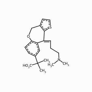 CN(C)CC/C=C1\c2cc(C(C)(C)C(=O)O)ccc2OCc2ccsc21